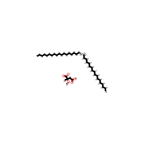 CCCCCCCCCCCCCCCCC[CH2][Sn+2][CH2]CCCCCCCCCCCCCCCCC.COC(C)(CC(=O)[O-])C(=O)[O-]